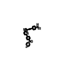 CCNc1ccc(C#Cc2cnc3ccc(-c4ccc(C(=O)N5CCN(C)CC5)cc4)nn23)cc1